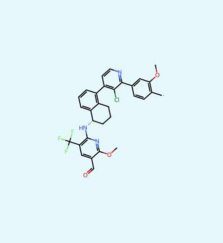 [CH2]c1ccc(-c2nccc(-c3cccc4c3CCC[C@@H]4Nc3nc(OC)c(C=O)cc3C(F)(F)F)c2Cl)cc1OC